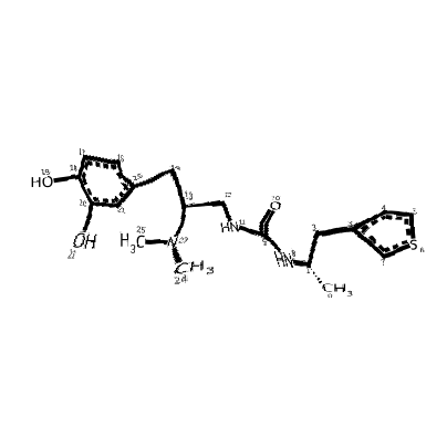 C[C@@H](Cc1ccsc1)NC(=O)NC[C@H](Cc1ccc(O)c(O)c1)N(C)C